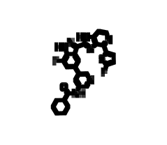 O=C(Nc1cncc(-c2cc(F)c3[nH]nc(-c4nc5c(-c6ccc(F)s6)nccc5[nH]4)c3c2)c1)C1CCCCC1